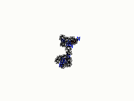 N#Cc1ccc(-c2nc3cc(-c4ccc5c(c4)c4cc6c7ccc8ccccc8c7n(-c7nc(-c8ccccc8)c8cccnc8n7)c6c6c7ccccc7n5c46)ccc3nc2-n2c3c4ccccc4ccc3c3cc4c5ccccc5n5c6ccccc6c(c32)c45)cc1